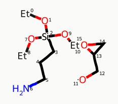 CCO[Si](CCCN)(OCC)OCC.[O]CC1CO1